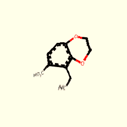 N#CCc1c(C(=O)O)ccc2c1OCCO2